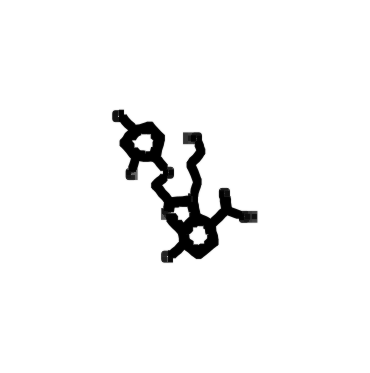 O=C(O)c1ccc(Cl)c2nc(COc3ccc(Cl)cc3Cl)n(CCCO)c12